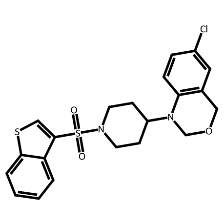 O=S(=O)(c1csc2ccccc12)N1CCC(N2COCc3cc(Cl)ccc32)CC1